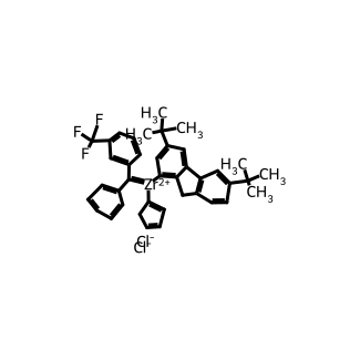 CC(C)(C)c1ccc2c(c1)-c1cc(C(C)(C)C)c[c](/[Zr+2]([C]3=CC=CC3)=[C](/c3ccccc3)c3cccc(C(F)(F)F)c3)c1C2.[Cl-].[Cl-]